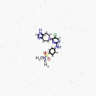 CN(C)S(=O)(=O)c1ccc(Nc2ncc(Cl)c(N3CCc4nc[nH]c4CC3)n2)cc1